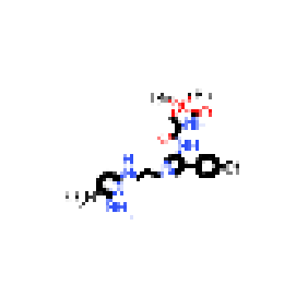 CCc1ccc(-c2cn(CCCNc3ccc([N+](=O)[O-])c(N)n3)cc2NC(=O)C(COC(C)(C)C)NC(=O)OC(C)(C)C)cc1